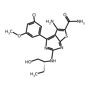 CC[C@H](CO)Nc1nc(-c2cc(Cl)cc(OC)c2)c2c(N)c(C(N)=O)sc2n1